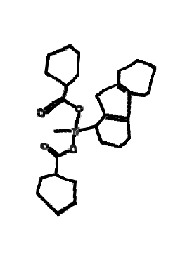 [CH3][Ti]([O]C(=O)C1CCCCC1)([O]C(=O)C1CCCCC1)[CH]1CCCC2=C1CC1=C2CCCC1